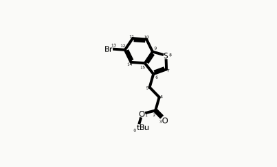 CC(C)(C)OC(=O)CCc1csc2ccc(Br)cc12